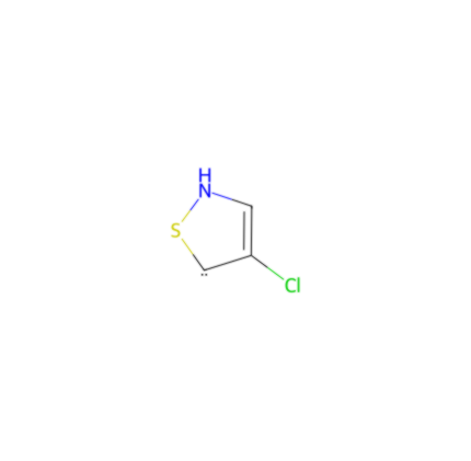 ClC1=CNS[C]1